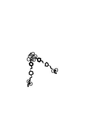 C=CC(=O)OCCC[C@H]1CC[C@H](CCc2ccc(C(=O)O[C@H]3OCCO[C@@H]3OC(=O)c3ccc(CC[C@H]4CC[C@H](CCCOC(=O)C=C)CC4)cc3)cc2)CC1